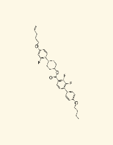 C=CCCCOc1ccc(C2CCC(OC(=O)c3ccc(-c4ccc(OCCCC)cc4)c(F)c3F)CC2)c(F)c1